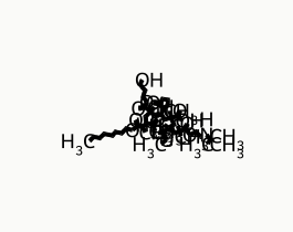 CCCCCCCCOC(=O)C(C)C(CC(C)(CC(CC(C)(CC(C)(CC(C)(C)C(=O)OCCNC(C)(C)C)C(=O)OC)C(=O)O)N1CCCC1=O)C(=O)OCCCO)C(C)=O